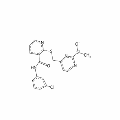 C[S+]([O-])c1nccc(CSc2ncccc2C(=O)Nc2cccc(Cl)c2)n1